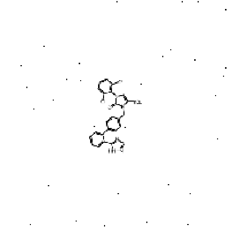 CCCCc1cn(-c2c(Cl)cccc2Cl)c(=O)n1Cc1ccc(-c2ccccc2-c2nnn[nH]2)cc1